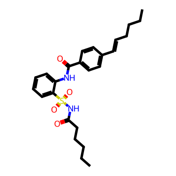 CCCCC=Cc1ccc(C(=O)Nc2ccccc2S(=O)(=O)NC(=O)CCCCC)cc1